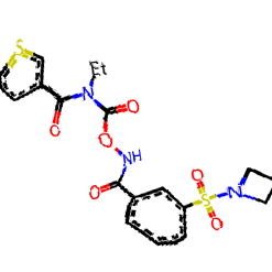 CCN(C(=O)ONC(=O)c1cccc(S(=O)(=O)N2CCC2)c1)C(=O)c1ccsc1